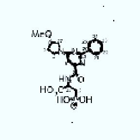 CO[C@H]1CCN(c2cc(C(=O)NC(CP(=O)(O)O)C(=O)O)nc(-c3ccccc3)n2)C1